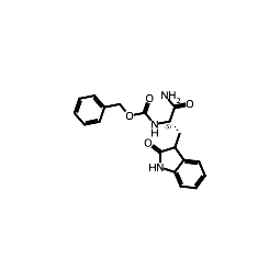 NC(=O)[C@H](CC1C(=O)Nc2ccccc21)NC(=O)OCc1ccccc1